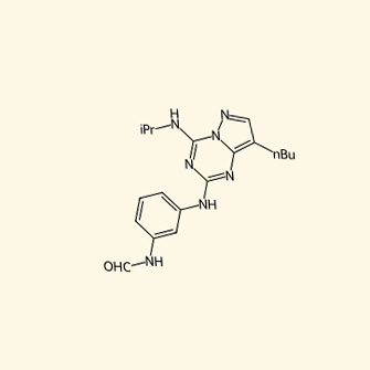 CCCCc1cnn2c(NC(C)C)nc(Nc3cccc(NC=O)c3)nc12